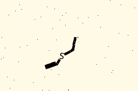 [CH2]CSC=C